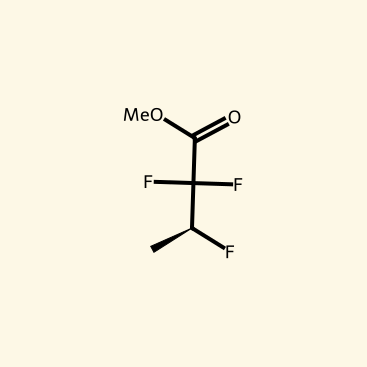 COC(=O)C(F)(F)[C@H](C)F